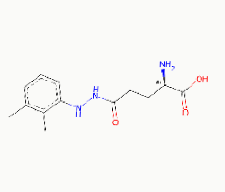 Cc1cccc(NNC(=O)CC[C@@H](N)C(=O)O)c1C